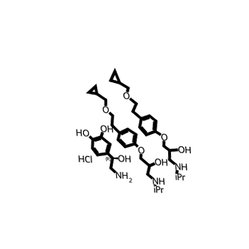 CC(C)NCC(O)COc1ccc(CCOCC2CC2)cc1.CC(C)NCC(O)COc1ccc(CCOCC2CC2)cc1.Cl.NC[C@H](O)c1ccc(O)c(O)c1